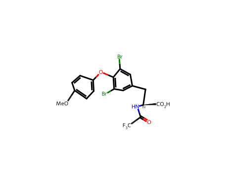 COc1ccc(Oc2c(Br)cc(C[C@H](NC(=O)C(F)(F)F)C(=O)O)cc2Br)cc1